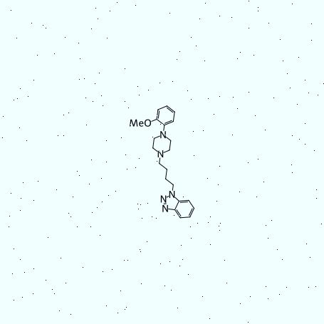 COc1ccccc1N1CCN(CCCCn2nnc3ccccc32)CC1